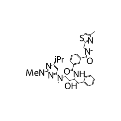 CNc1nc(C(C)C)cc(N(C)C[C@@H](O)[C@H](Cc2ccccc2)NC(=O)c2cccc(C(=O)N(C)Cc3nc(C)cs3)c2)n1